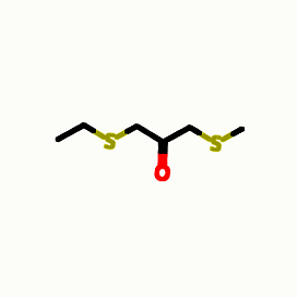 CCSCC(=O)CSC